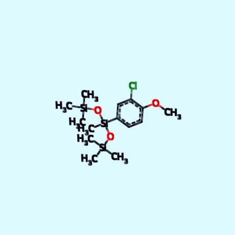 COc1ccc([Si](C)(O[Si](C)(C)C)O[Si](C)(C)C)cc1Cl